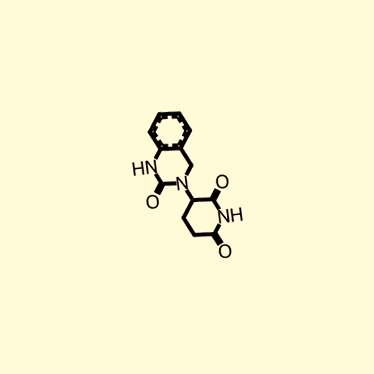 O=C1CCC(N2Cc3ccccc3NC2=O)C(=O)N1